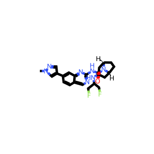 Cn1cc(-c2ccc3cnc(NC(=O)N4[C@@H]5CC[C@H]4CC(NC(CF)CF)C5)nc3c2)cn1